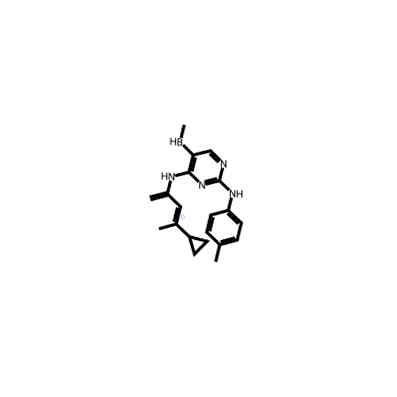 C=C(/C=C(\C)C1CC1)Nc1nc(Nc2ccc(C)cc2)ncc1BC